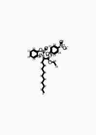 CCCCCCCCCCC(NP(=O)(Oc1ccccc1)Oc1ccc([N+](=O)[O-])cc1)C(=O)OCC